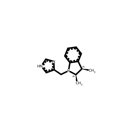 C[C@@H]1c2ccccc2N(Cc2c[nH]cn2)[C@@H]1C